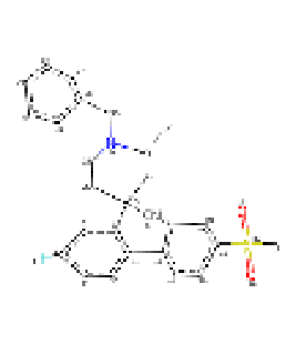 C[C@@H]1CC(C#N)(c2cc(F)ccc2-c2ccc(S(C)(=O)=O)cc2)CCN1Cc1ccccc1